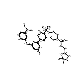 Cc1cc(Nc2cc(C(F)F)ccn2)nc(-c2ccc([C@](C)(O)[C@H]3CC[C@H](C(=O)OC[C@H]4COC(C)(C)O4)CC3)nc2)c1